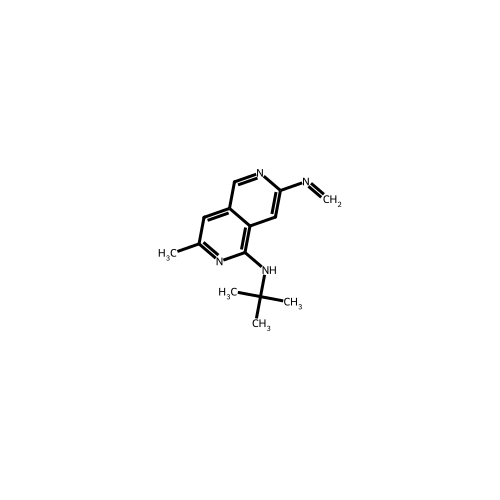 C=Nc1cc2c(NC(C)(C)C)nc(C)cc2cn1